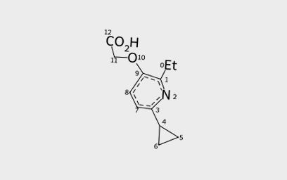 CCc1nc(C2CC2)ccc1OCC(=O)O